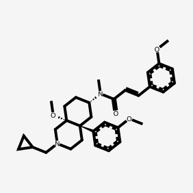 COc1cccc(C=CC(=O)N(C)[C@H]2CC[C@]3(OC)CN(CC4CC4)CC[C@@]3(c3cccc(OC)c3)C2)c1